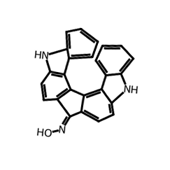 ON=C1c2ccc3[nH]c4ccccc4c3c2-c2c1ccc1[nH]c3ccccc3c21